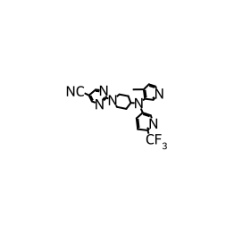 Cc1ccncc1N(c1ccc(C(F)(F)F)nc1)C1CCN(c2ncc(C#N)cn2)CC1